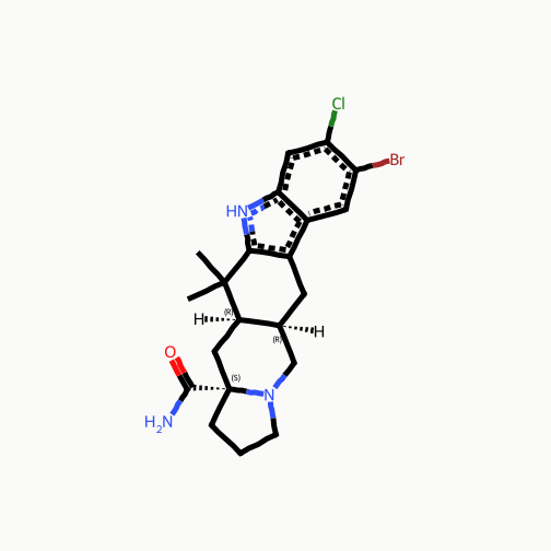 CC1(C)c2[nH]c3cc(Cl)c(Br)cc3c2C[C@H]2CN3CCC[C@@]3(C(N)=O)C[C@H]21